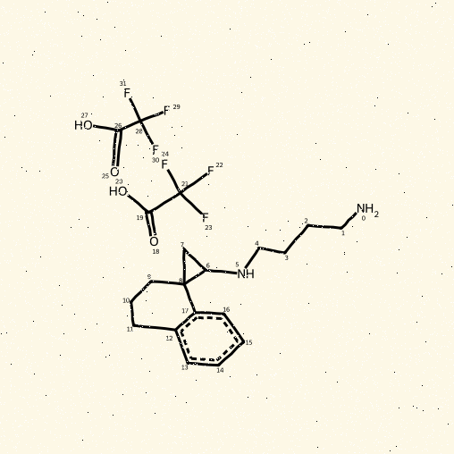 NCCCCNC1CC12CCCc1ccccc12.O=C(O)C(F)(F)F.O=C(O)C(F)(F)F